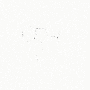 CCC(=O)c1nc2ccccc2n1CCS